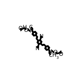 CCN(CCOCC1CO1)c1ccc(/C=C/c2cc(C#N)c(/C=C/c3ccc(N(CC)CCOCC4CO4)cc3)cc2C#N)cc1